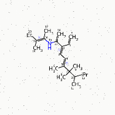 C=C/C(=C\C=C(/C)C(C)(C)C(C)C(C)C)C(=C)N/C(C)=C(\C)CC